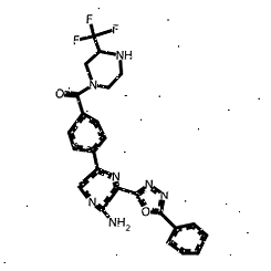 Nc1ncc(-c2ccc(C(=O)N3CCNC(C(F)(F)F)C3)cc2)nc1-c1nnc(-c2ccccc2)o1